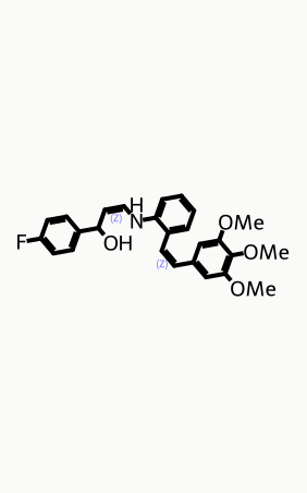 COc1cc(/C=C\c2ccccc2N/C=C\C(O)c2ccc(F)cc2)cc(OC)c1OC